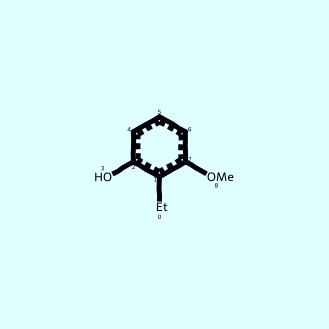 [CH2]Cc1c(O)cccc1OC